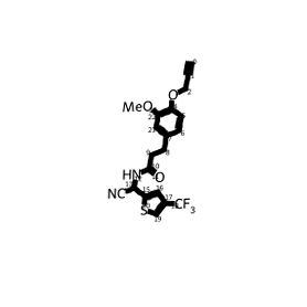 C#CCOc1ccc(CCC(=O)NC(C#N)c2cc(C(F)(F)F)cs2)cc1OC